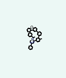 C\C=C(/C=C(\N=C(/C)c1ccccc1)c1ccc(C)c(-c2cccc(-c3ccc4oc5ccccc5c4c3)c2)c1)c1ccccc1